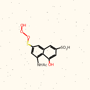 CC(=O)Nc1cc(SOOO)cc2cc(S(=O)(=O)O)cc(O)c12